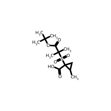 CC1CC1(C(=O)O)S(=O)(=O)C(C)(C)C(=O)OC(C)(C)C